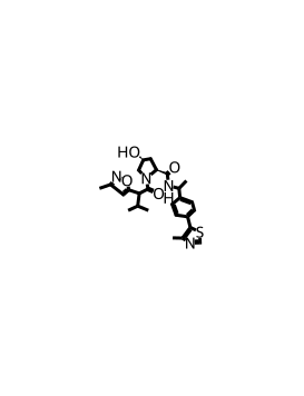 Cc1cc(C(C(=O)N2C[C@H](O)C[C@H]2C(=O)NC(C)c2ccc(-c3scnc3C)cc2)C(C)C)on1